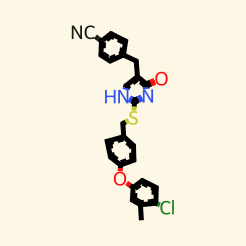 Cc1cc(Oc2ccc(CSc3nc(=O)c(Cc4ccc(C#N)cc4)c[nH]3)cc2)ccc1Cl